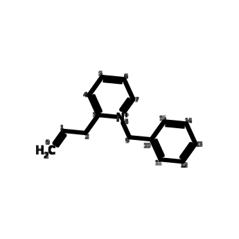 C=CCc1cccc[n+]1Cc1ccccc1